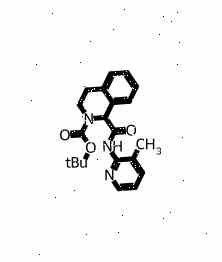 Cc1cccnc1NC(=O)C1c2ccccc2CCN1C(=O)OC(C)(C)C